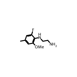 COc1cc(C)cc(F)c1NCCN